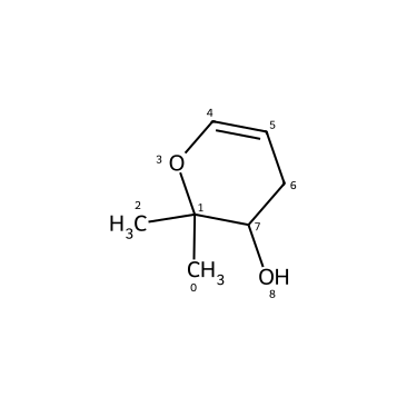 CC1(C)OC=CCC1O